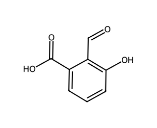 O=Cc1c(O)cccc1C(=O)O